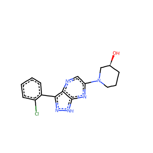 O[C@H]1CCCN(c2cnc3c(-c4ccccc4Cl)n[nH]c3n2)C1